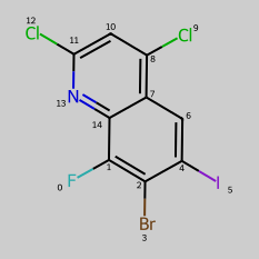 Fc1c(Br)c(I)cc2c(Cl)cc(Cl)nc12